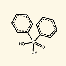 O=S(O)(O)(c1ccccc1)c1ccccc1